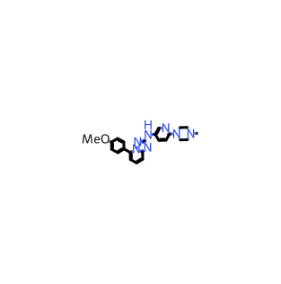 COc1ccc(-c2cccc3nc(Nc4ccc(N5CCN(C)CC5)nc4)nn23)cc1